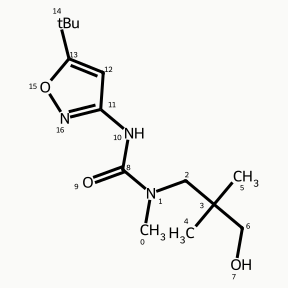 CN(CC(C)(C)CO)C(=O)Nc1cc(C(C)(C)C)on1